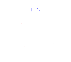 CCOC(=O)/C(Cl)=C(/C)N